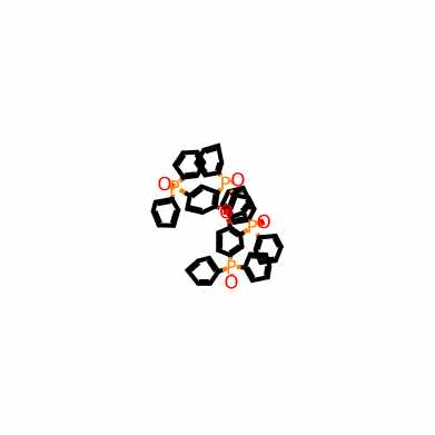 O=P(c1ccccc1)(c1ccccc1)c1ccc(Oc2ccc(P(=O)(c3ccccc3)c3ccccc3)cc2P(=O)(c2ccccc2)c2ccccc2)c(P(=O)(c2ccccc2)c2ccccc2)c1